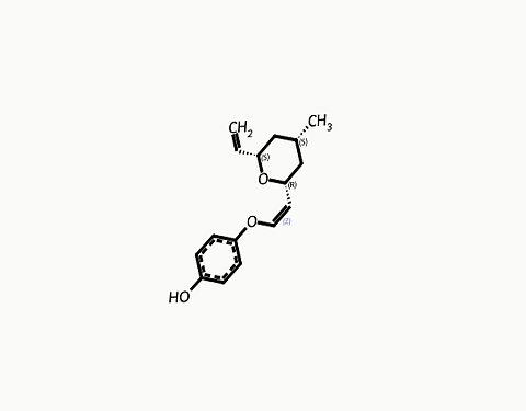 C=C[C@@H]1C[C@H](C)C[C@H](/C=C\Oc2ccc(O)cc2)O1